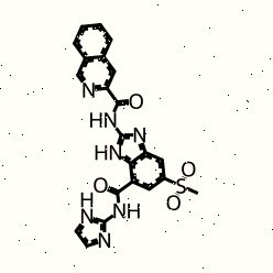 CS(=O)(=O)c1cc(C(=O)Nc2ncc[nH]2)c2[nH]c(NC(=O)c3cc4ccccc4cn3)nc2c1